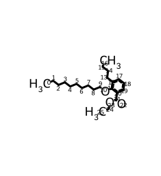 CCCCCCCCCCOc1c(CCCC)cccc1C(=O)OCC